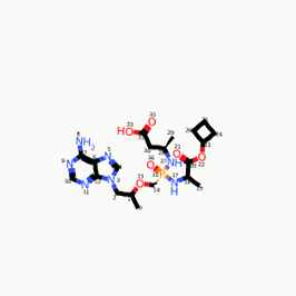 CC(Cn1cnc2c(N)ncnc21)OC[P@@](=O)(NC(C)C(=O)OC1CCC1)N[C@H](C)CC(=O)O